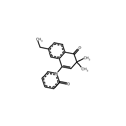 CCc1ccc2c(c1)C(n1ccccc1=O)=CC(C)(C)C2=O